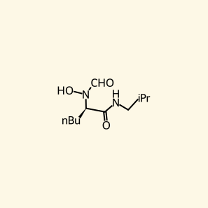 CCCC[C@H](C(=O)NCC(C)C)N(O)C=O